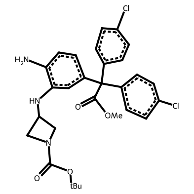 COC(=O)C(c1ccc(Cl)cc1)(c1ccc(Cl)cc1)c1ccc(N)c(NC2CN(C(=O)OC(C)(C)C)C2)c1